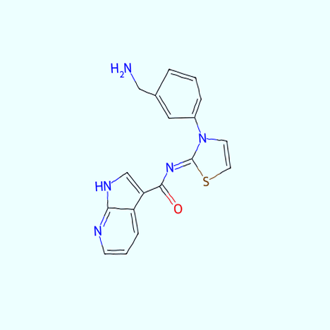 NCc1cccc(-n2ccsc2=NC(=O)c2c[nH]c3ncccc23)c1